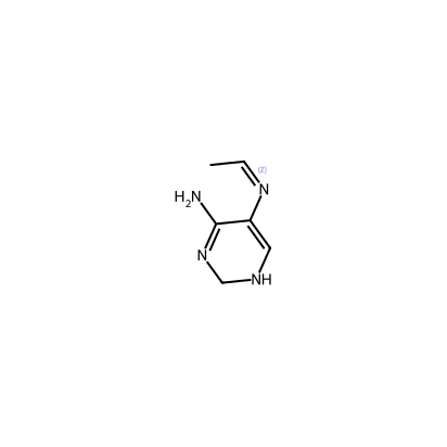 C/C=N\C1=CNCN=C1N